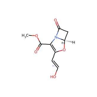 COC(=O)C1=C(/C=C/O)O[C@@H]2CC(=O)N12